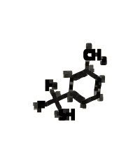 Cc1cccc(C(F)(F)S)c1